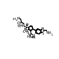 NCc1nc2cc(-c3ccc4c(c3-c3nn[nH]n3)S(=O)(=O)N=S4(=O)NC[C@@H](O)CN)ccc2s1